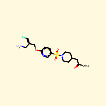 COC(=O)CC1CCN(S(=O)(=O)c2ccc(OC/C(=C/F)CN)nc2)CC1